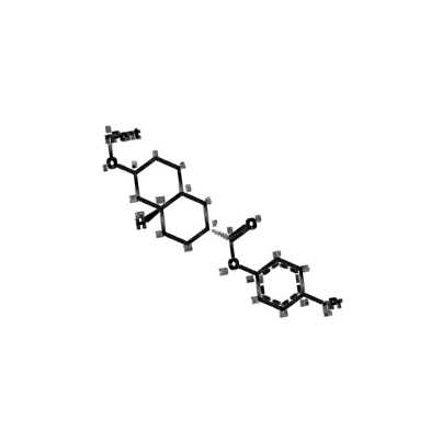 CCCCCOC1CCC2C[C@H](C(=O)Oc3ccc(CCC)cc3)CC[C@@H]2C1